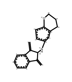 C=C1c2ccccc2C(=C)C1Nc1ccc2c(c1)CCCO2